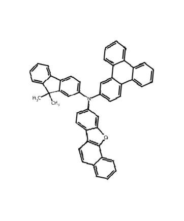 CC1(C)c2ccccc2-c2ccc(N(c3ccc4c(c3)oc3c5ccccc5ccc43)c3ccc4c5ccccc5c5ccccc5c4c3)cc21